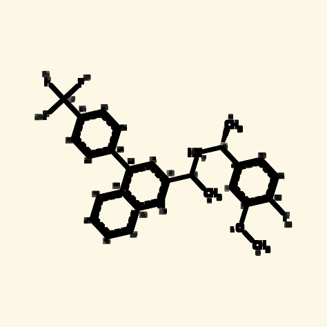 COc1cc([C@@H](C)NC(C)c2cc(-c3ccc(C(F)(F)F)cc3)c3ccccc3n2)ccc1F